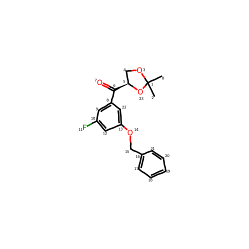 CC1(C)OC[C@H](C(=O)c2cc(F)cc(OCc3ccccc3)c2)O1